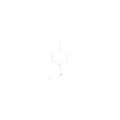 COC(=O)c1nc(C)c(Br)c(C)n1